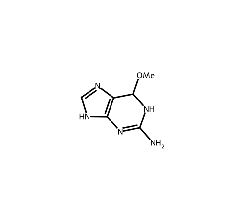 COC1NC(N)=Nc2[nH]cnc21